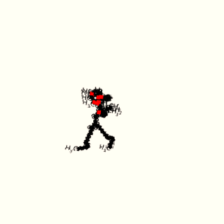 CCCCC/C=C\C/C=C\CCCCCCCC(=O)OCC(COC(=O)CCC(=O)O[C@@H](C(=O)O[C@H]1C[C@@]2(O)[C@@H](OC(=O)c3ccccc3)[C@@H]3[C@]4(O)CO[C@@H]4C[C@H](O)[C@@]3(C)C(=O)[C@H](O)C(=C1C)C2(C)C)[C@@H](NC(=O)OC(C)(C)C)c1ccccc1)OC(=O)CCCCCCC/C=C\C/C=C\CCCCC